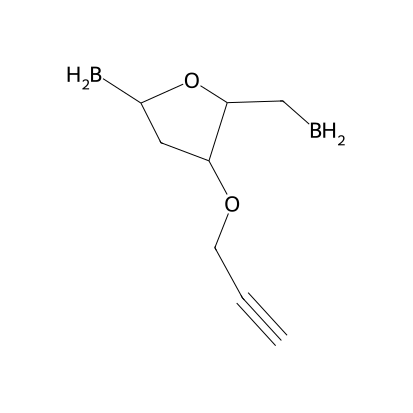 BCC1OC(B)CC1OCC#C